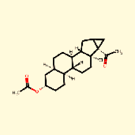 CC(=O)O[C@H]1CC[C@H]2[C@H](CC[C@@H]3[C@@H]2CC[C@@]2(C)[C@H]3CC3C[C@]32C(C)=O)C1